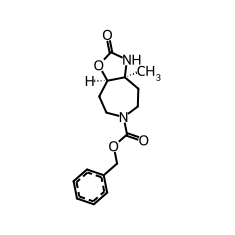 C[C@]12CCN(C(=O)OCc3ccccc3)CC[C@H]1OC(=O)N2